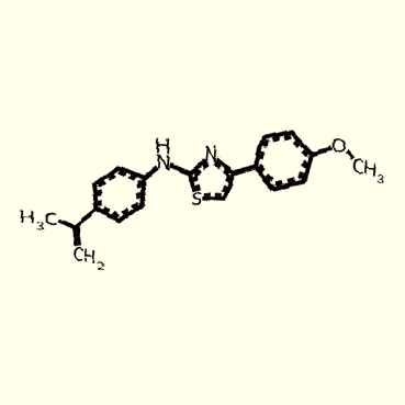 C=C(C)c1ccc(Nc2nc(-c3ccc(OC)cc3)cs2)cc1